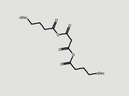 CCCCCCCCCCCCCC(=O)OC(=O)CC(=O)OC(=O)CCCCCCCCCCCCC